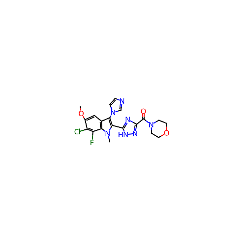 COc1cc2c(-n3ccnc3)c(-c3nc(C(=O)N4CCOCC4)n[nH]3)n(C)c2c(F)c1Cl